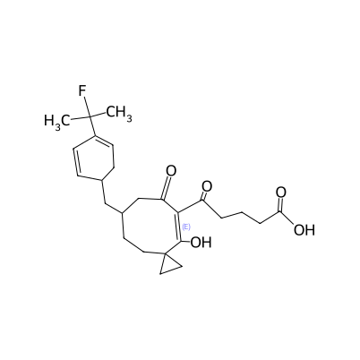 CC(C)(F)C1=CCC(CC2CCC3(CC3)/C(O)=C(/C(=O)CCCC(=O)O)C(=O)C2)C=C1